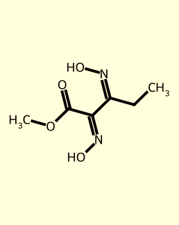 CCC(=NO)C(=NO)C(=O)OC